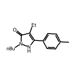 CCCCn1[nH]c(-c2ccc(C)cc2)c(CC)c1=O